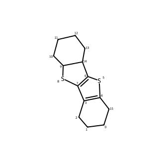 C1CCc2c(sc3c2SC2CCCCC32)C1